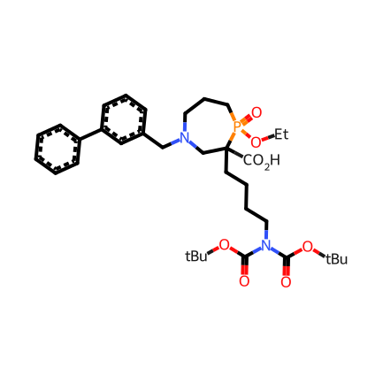 CCOP1(=O)CCCN(Cc2cccc(-c3ccccc3)c2)CC1(CCCCN(C(=O)OC(C)(C)C)C(=O)OC(C)(C)C)C(=O)O